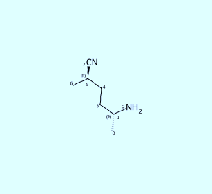 C[C@@H](N)CC[C@@H](C)C#N